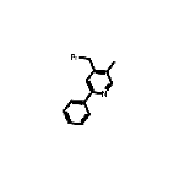 Cc1cnc(-c2ccccc2)cc1CC(C)C